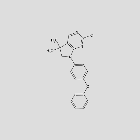 CC1(C)CN(c2ccc(Oc3ccccc3)cc2)c2nc(Cl)ncc21